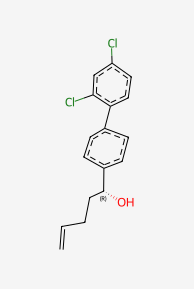 C=CCC[C@@H](O)c1ccc(-c2ccc(Cl)cc2Cl)cc1